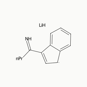 CCCC(=N)C1=C[CH]c2ccccc21.[LiH]